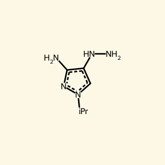 CC(C)n1cc(NN)c(N)n1